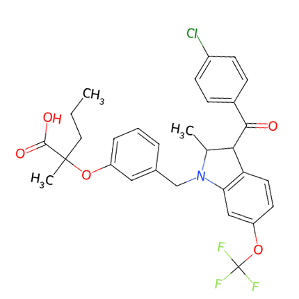 CCCC(C)(Oc1cccc(CN2c3cc(OC(F)(F)F)ccc3C(C(=O)c3ccc(Cl)cc3)C2C)c1)C(=O)O